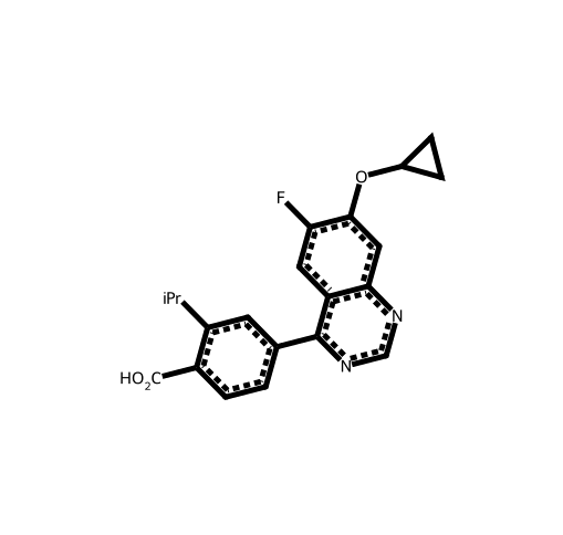 CC(C)c1cc(-c2ncnc3cc(OC4CC4)c(F)cc23)ccc1C(=O)O